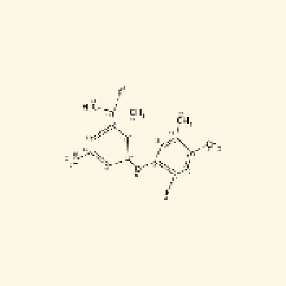 Cc1cc(F)c(Oc2cc(C(C)(C)F)cc(C(F)(F)F)c2)cc1C